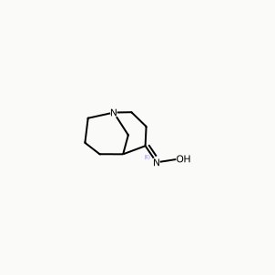 O/N=C1\CCN2CCCC1C2